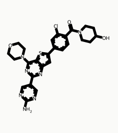 Nc1ncc(-c2nc(N3CCOCC3)c3sc(-c4ccc(C(=O)N5CCC(O)CC5)c(Cl)c4)cc3n2)cn1